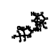 CC(C)(F)C1(C)SC(N[C@H]2C[C@@H]3CC[C@@]2(C)C3)=NC1=O